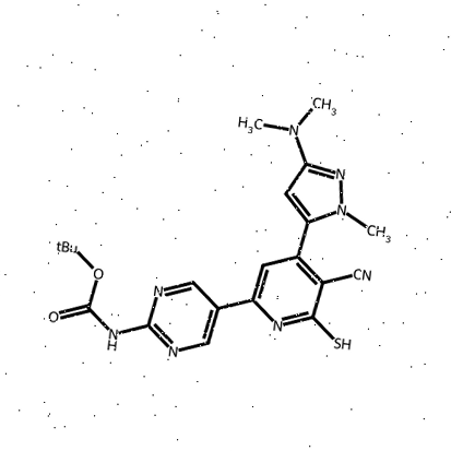 CN(C)c1cc(-c2cc(-c3cnc(NC(=O)OC(C)(C)C)nc3)nc(S)c2C#N)n(C)n1